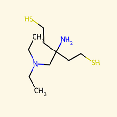 CCN(CC)CC(N)(CCS)CCS